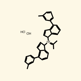 C[C](C)=[Hf]([CH]1C=Cc2c(-c3cccc(C)c3)cccc21)[CH]1C=Cc2c(-c3cccc(C)c3)cccc21.Cl.Cl